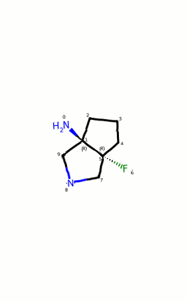 N[C@@]12CCC[C@@]1(F)C[N]C2